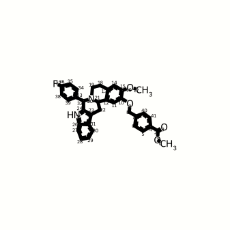 COC(=O)c1ccc(COc2cc3c(cc2OC)CCN2C3Cc3c([nH]c4ccccc34)C2c2ccc(F)cc2)cc1